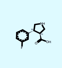 O=C(O)[C@@H]1CNC[C@H]1c1cccc(F)c1